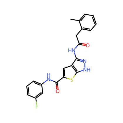 Cc1ccccc1CC(=O)Nc1n[nH]c2sc(C(=O)Nc3cccc(F)c3)cc12